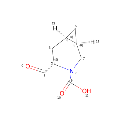 O=C[C@@H]1C[C@H]2C[C@H]2CN1C(=O)O